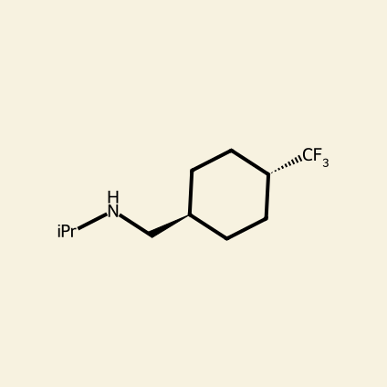 CC(C)NC[C@H]1CC[C@H](C(F)(F)F)CC1